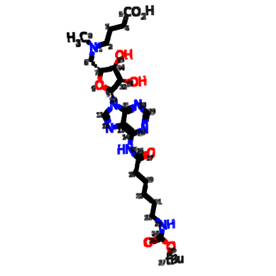 CN(CCCC(=O)O)C[C@H]1O[C@@H](n2cnc3c(NC(=O)CCCCCNC(=O)OC(C)(C)C)ncnc32)[C@H](O)[C@@H]1O